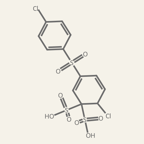 O=S(=O)(C1=CC(S(=O)(=O)O)(S(=O)(=O)O)C(Cl)C=C1)c1ccc(Cl)cc1